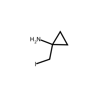 NC1(CI)CC1